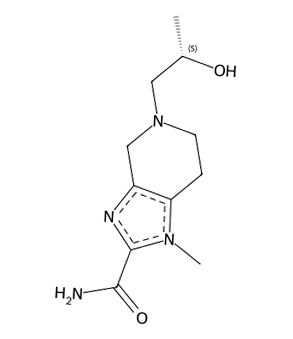 C[C@H](O)CN1CCc2c(nc(C(N)=O)n2C)C1